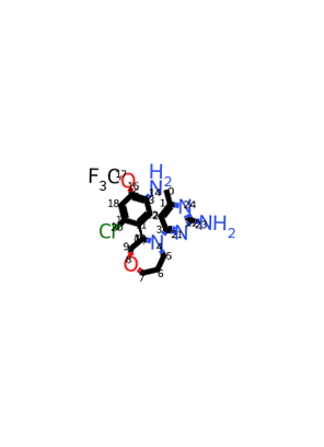 Cc1cc(N2CCCOC[C@H]2c2cc(N)c(OC(F)(F)F)cc2Cl)nc(N)n1